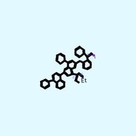 C/C=C(\C=C/CC)c1cc(-c2ccc(-c3ccccc3)c3ccccc23)cc2c(C3C=CC=CC3)cc(Cc3ccccc3/C(=C\I)c3ccccc3)cc12